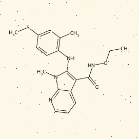 CCONC(=O)c1c(Nc2ccc(SC)cc2C)n(C)c2ncccc12